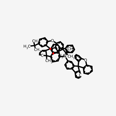 CC(C)(C)c1ccc2c(c1)C1(C3=CC=CCC3(C)c3ccc(N(c4ccc5c(c4)C4(c6ccccc6Oc6ccccc64)c4ccccc4-5)c4ccccc4-c4ccccc4)cc31)c1cc(C(C)(C)C)ccc1O2